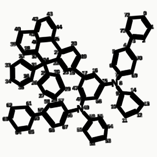 c1ccc(-c2ccc(N(c3ccccc3)c3cc(-c4ccc5c(c4)C(c4ccccc4)(c4ccccc4)c4cccc6cccc-5c46)cc(N(c4ccccc4)c4ccc(-c5ccccc5)cc4)c3)cc2)cc1